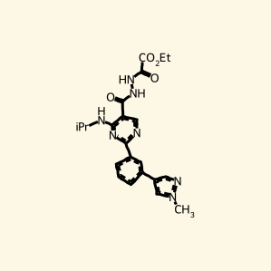 CCOC(=O)C(=O)NNC(=O)c1cnc(-c2cccc(-c3cnn(C)c3)c2)nc1NC(C)C